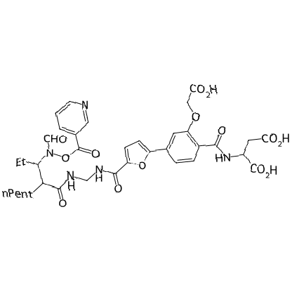 CCCCCC(C(=O)NCNC(=O)c1ccc(-c2ccc(C(=O)NC(CC(=O)O)C(=O)O)c(OCC(=O)O)c2)o1)C(CC)N(C=O)OC(=O)c1cccnc1